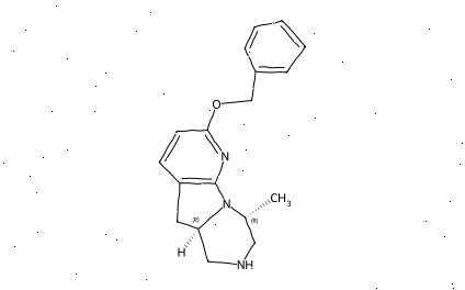 C[C@@H]1CNC[C@H]2Cc3ccc(OCc4ccccc4)nc3N21